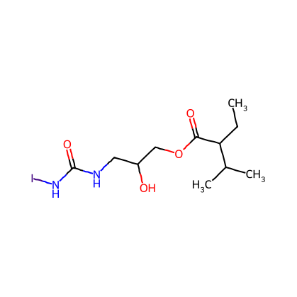 CCC(C(=O)OCC(O)CNC(=O)NI)C(C)C